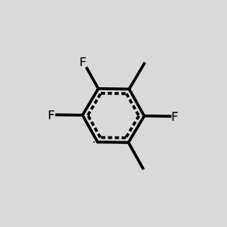 Cc1[c]c(F)c(F)c(C)c1F